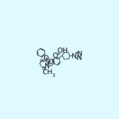 C[C@H]1CC[C@H](c2ccccc2)S(=O)(=O)N1Cc1ccc([C@]2(C(=O)O)CC[C@H](n3cnnc3)CC2)cc1